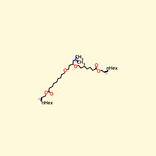 CCCCCC/C=C\COC(=O)CCCCCCCCOCCC(CN(C)C)OCCCCCCC(=O)OC/C=C\CCCCCC